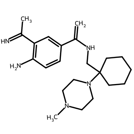 C=C(NCC1(N2CCN(C)CC2)CCCCC1)c1ccc(N)c(C(C)=N)c1